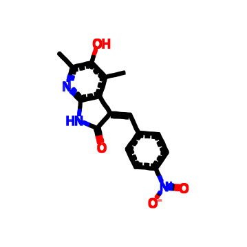 Cc1nc2c(c(C)c1O)C(=Cc1ccc([N+](=O)[O-])cc1)C(=O)N2